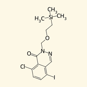 C[Si](C)(C)CCOCn1ncc2c(I)ccc(Cl)c2c1=O